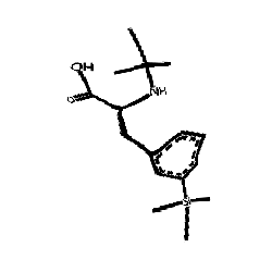 CC(C)(C)N[C@@H](Cc1cccc([Si](C)(C)C)c1)C(=O)O